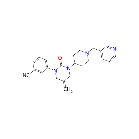 C=C1CN(c2cccc(C#N)c2)C(=O)N(C2CCN(Cc3cccnc3)CC2)C1